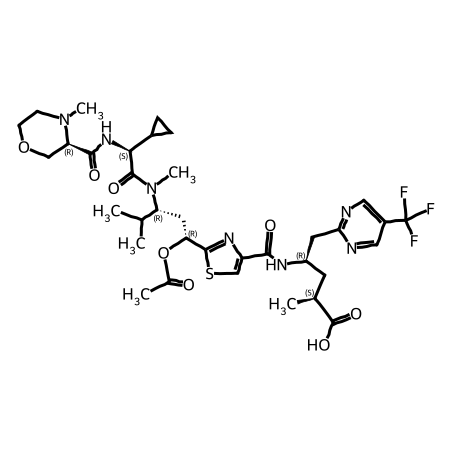 CC(=O)O[C@H](C[C@H](C(C)C)N(C)C(=O)[C@@H](NC(=O)[C@H]1COCCN1C)C1CC1)c1nc(C(=O)N[C@@H](Cc2ncc(C(F)(F)F)cn2)C[C@H](C)C(=O)O)cs1